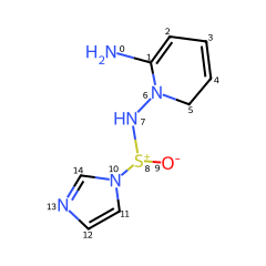 NC1=CC=CCN1N[S+]([O-])n1ccnc1